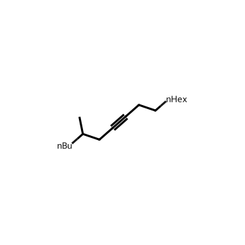 [CH2]CCCCCCCC#CCC(C)CCC[CH2]